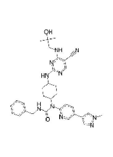 Cn1cc(-c2ccc(N(C(=O)NCc3ccccc3)C3CCC(Nc4ncc(C#N)c(NCC(C)(C)O)n4)CC3)nc2)cn1